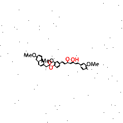 COc1ccc2cc([C@@H](C)C(=O)Oc3ccc(/C=C/C(=O)/C=C(O)/C=C/c4ccc(C)c(OC)c4)cc3OC)ccc2c1